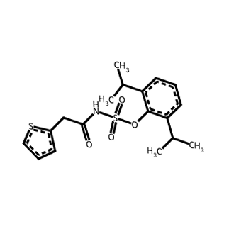 CC(C)c1cccc(C(C)C)c1OS(=O)(=O)NC(=O)Cc1cccs1